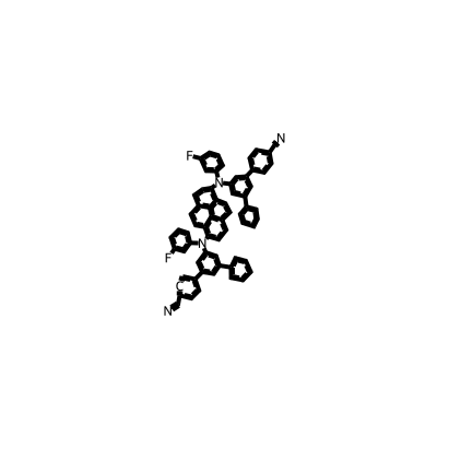 N#Cc1ccc(-c2cc(-c3ccccc3)cc(N(c3cccc(F)c3)c3ccc4ccc5c(N(c6cccc(F)c6)c6cc(-c7ccccc7)cc(-c7ccc(C#N)cc7)c6)ccc6ccc3c4c65)c2)cc1